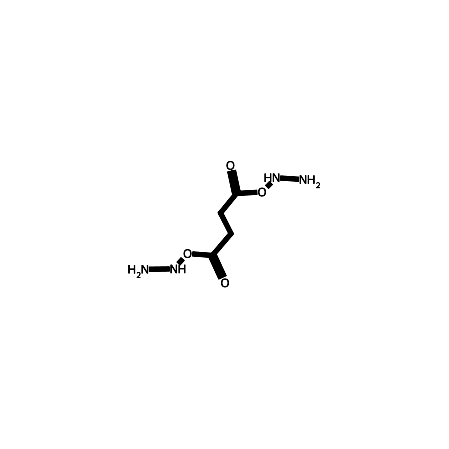 NNOC(=O)CCC(=O)ONN